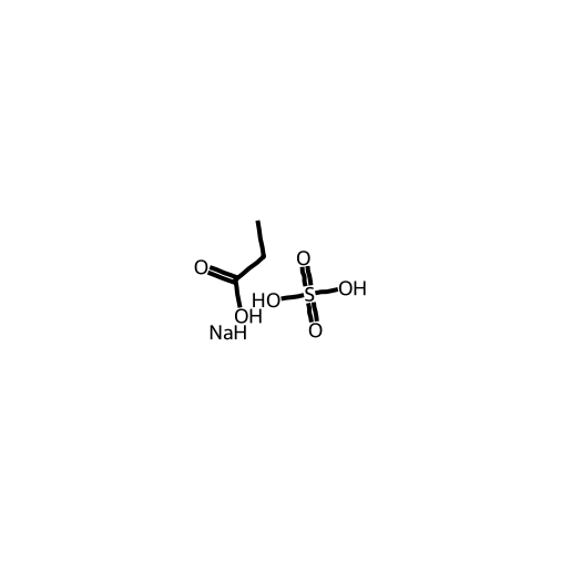 CCC(=O)O.O=S(=O)(O)O.[NaH]